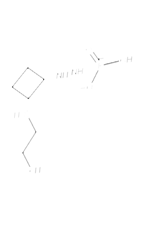 C1CCC1.CCCC.N.N.O=[PH](O)O